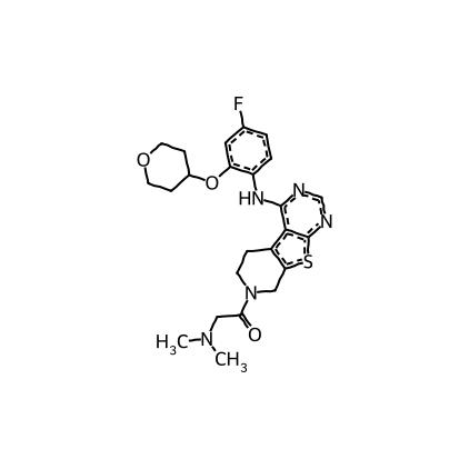 CN(C)CC(=O)N1CCc2c(sc3ncnc(Nc4ccc(F)cc4OC4CCOCC4)c23)C1